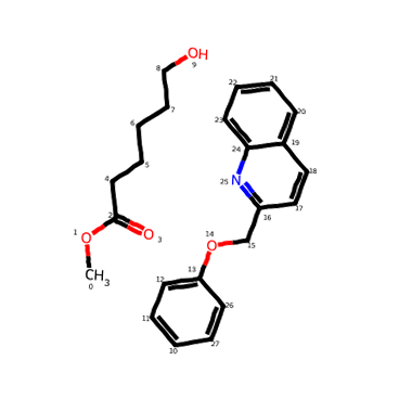 COC(=O)CCCCCO.c1ccc(OCc2ccc3ccccc3n2)cc1